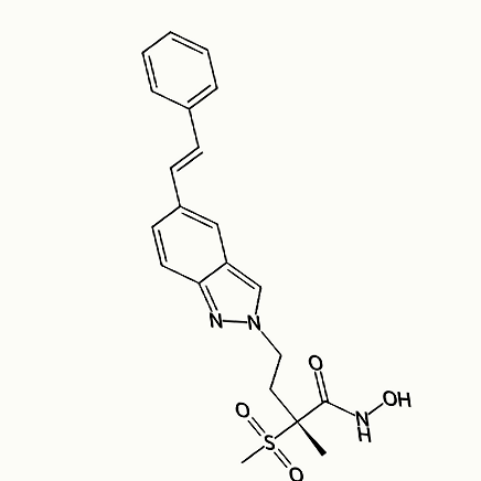 C[C@@](CCn1cc2cc(C=Cc3ccccc3)ccc2n1)(C(=O)NO)S(C)(=O)=O